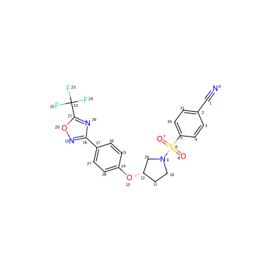 N#Cc1ccc(S(=O)(=O)N2CC[C@H](Oc3ccc(-c4noc(C(F)(F)F)n4)cc3)C2)cc1